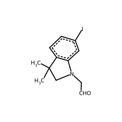 CC1(C)CN(CC=O)c2cc(I)ccc21